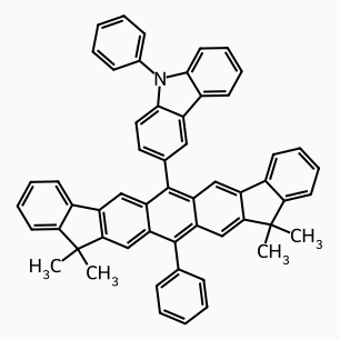 CC1(C)c2ccccc2-c2cc3c(-c4ccc5c(c4)c4ccccc4n5-c4ccccc4)c4cc5c(cc4c(-c4ccccc4)c3cc21)C(C)(C)c1ccccc1-5